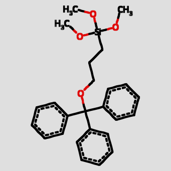 CO[Si](CCCOC(c1ccccc1)(c1ccccc1)c1ccccc1)(OC)OC